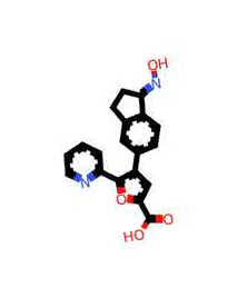 O=C(O)c1cc(-c2ccc3c(c2)CCC3=NO)c(-c2ccccn2)o1